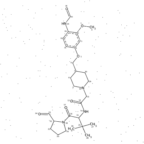 COc1cc(OCC2CCN(CC(=O)NC(C(=O)N3CCCC3C=O)C(C)(C)C)CC2)ccc1NC=O